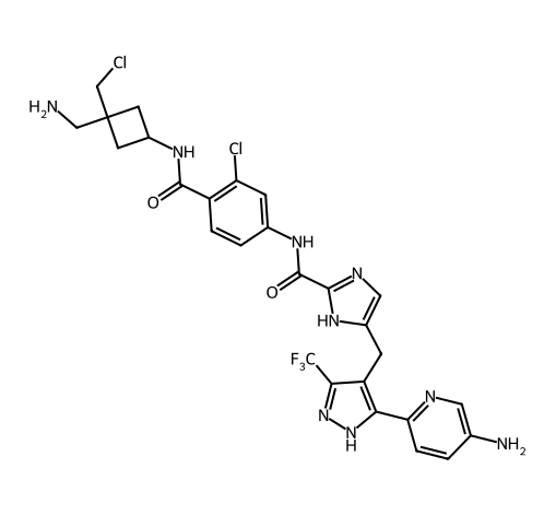 NCC1(CCl)CC(NC(=O)c2ccc(NC(=O)c3ncc(Cc4c(C(F)(F)F)n[nH]c4-c4ccc(N)cn4)[nH]3)cc2Cl)C1